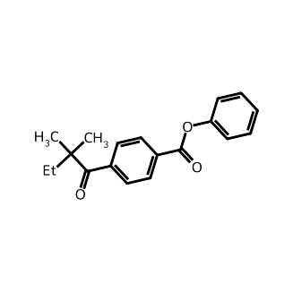 CCC(C)(C)C(=O)c1ccc(C(=O)Oc2ccccc2)cc1